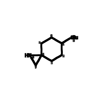 CC(C)(C)C1CCC2(CC1)CN2